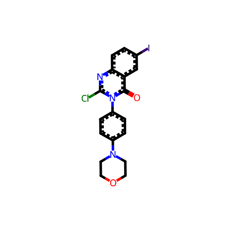 O=c1c2cc(I)ccc2nc(Cl)n1-c1ccc(N2CCOCC2)cc1